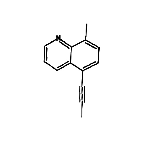 CC#Cc1ccc(C)c2ncccc12